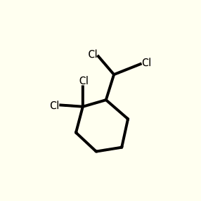 ClC(Cl)C1CCCCC1(Cl)Cl